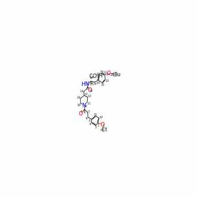 CCOc1ccc(CCC(=O)N2CCC(CC(=O)N[C@@H](Cc3ccc(OC(C)(C)C)cc3)C(=O)O)CC2)cc1